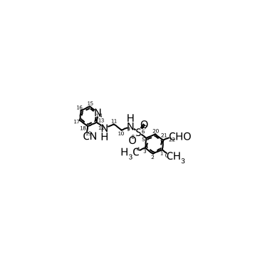 Cc1cc(C)c(S(=O)(=O)NCCNc2ncccc2C#N)cc1C=O